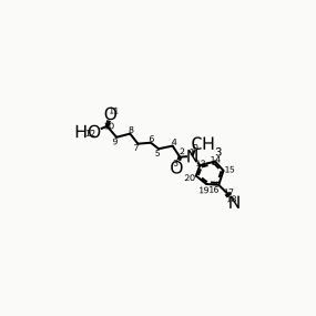 CN(C(=O)CCCCCCC(=O)O)c1ccc(C#N)cc1